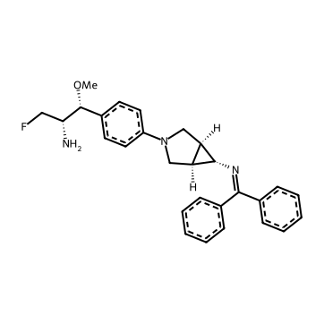 CO[C@H](c1ccc(N2C[C@@H]3[C@H](C2)[C@H]3N=C(c2ccccc2)c2ccccc2)cc1)[C@H](N)CF